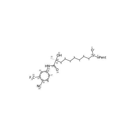 CCCCC[S+]([O-])CCCCCCC[C@](C)(O)C(=O)Nc1ccc(C#N)c(C(F)(F)F)c1